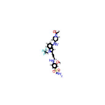 COc1cc(S(N)(=O)=O)ccc1NCC#Cc1cc2c(NC3CCN(C(C)=O)CC3)cccc2n1CC(F)(F)F